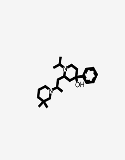 CC(CC1CC(O)(c2ccccc2)CCN1C(C)C)N1CCCC(C)(C)C1